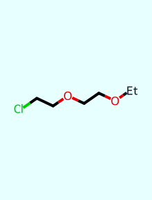 CCOCCOCCCl